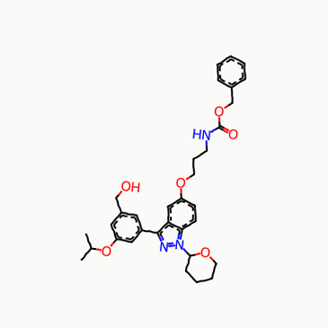 CC(C)Oc1cc(CO)cc(-c2nn(C3CCCCO3)c3ccc(OCCCNC(=O)OCc4ccccc4)cc23)c1